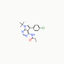 CCC(=O)Nc1ncnc2c1c(-c1ccc(Cl)cc1)cn2C(C)(C)C